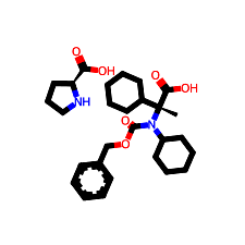 C[C@](C(=O)O)(C1CCCCC1)N(C(=O)OCc1ccccc1)C1CCCCC1.O=C(O)[C@@H]1CCCN1